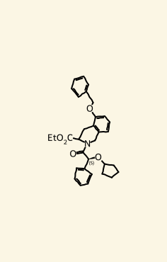 CCOC(=O)C1Cc2c(cccc2OCc2ccccc2)CN1C(=O)[C@@H](OC1CCCC1)c1ccccc1